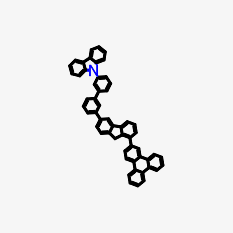 c1cc(-c2cccc(-n3c4ccccc4c4ccccc43)c2)cc(-c2ccc3c(c2)-c2cccc(-c4ccc5c6ccccc6c6ccccc6c5c4)c2C3)c1